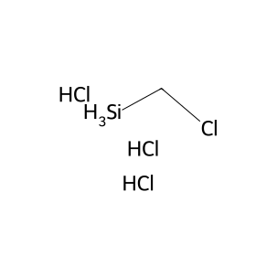 Cl.Cl.Cl.[SiH3]CCl